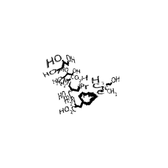 CC(C)CC(N)C(=O)O.C[N+](C)(C)CCO.NC(Cc1ccccc1)C(=O)O.NCC(=O)O.OCC(O)CO.OCC(O)CO